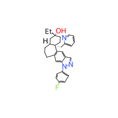 CC[C@@]1(O)CC[C@@]2(Cc3ccccn3)c3cc4cnn(-c5ccc(F)cc5)c4cc3CCC[C@H]2C1